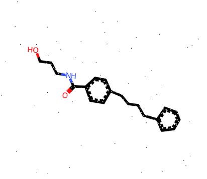 O=C(NCCCO)c1ccc(CCCCc2ccccc2)cc1